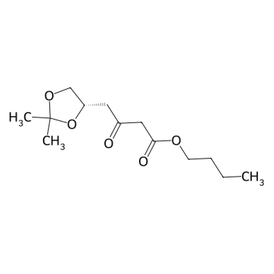 CCCCOC(=O)CC(=O)C[C@H]1COC(C)(C)O1